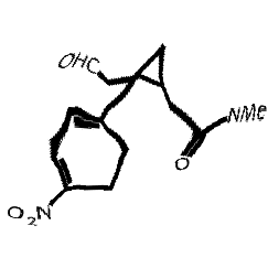 CNC(=O)C1CC1(C=O)C1=CC=C([N+](=O)[O-])CC1